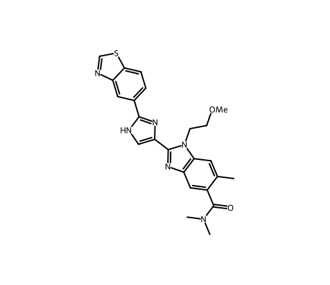 COCCn1c(-c2c[nH]c(-c3ccc4scnc4c3)n2)nc2cc(C(=O)N(C)C)c(C)cc21